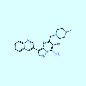 CN1CCN(Cc2nc3c(-c4cnc5ccccc5c4)cnn3c(N)c2Br)CC1